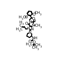 COc1cccc(OC)c1C(=O)Cn1c(=O)c2c(nc(N3CCCC(NC(=O)OC(C)(C)C)C3)n2CC=C(C)C)n(C)c1=O